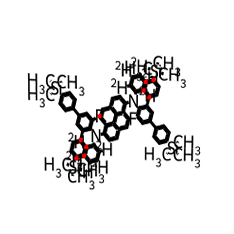 [2H]c1c([2H])c([2H])c(N(c2c(F)cc(-c3ccc([Si](C)(C)C)cc3)cc2-c2ccc([Si](C)(C)C)cc2)c2ccc3ccc4c(N(c5c(F)cc(-c6ccc([Si](C)(C)C)cc6)cc5-c5ccc([Si](C)(C)C)cc5)c5c([2H])c([2H])c([2H])c([2H])c5[2H])ccc5ccc2c3c54)c([2H])c1[2H]